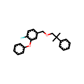 CC(C)(COCc1ccc(F)c(Oc2ccccc2)c1)c1ccccc1